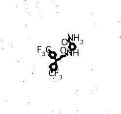 NC(=O)c1cccc(NC(=O)/C=C/C=C(c2ccc(C(F)(F)F)cc2)c2ccc(C(F)(F)F)cc2)c1